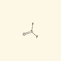 [O]=[Ti]([F])[F]